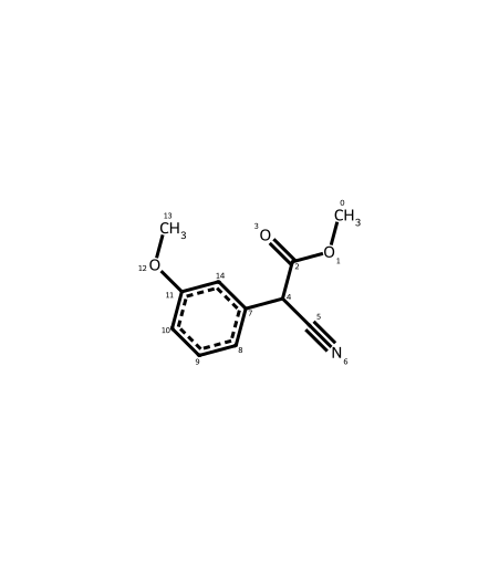 COC(=O)C(C#N)c1cccc(OC)c1